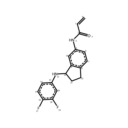 C=CC(=O)Nc1ccc2c(c1)C(Nc1ccc(F)c(F)c1)CC2